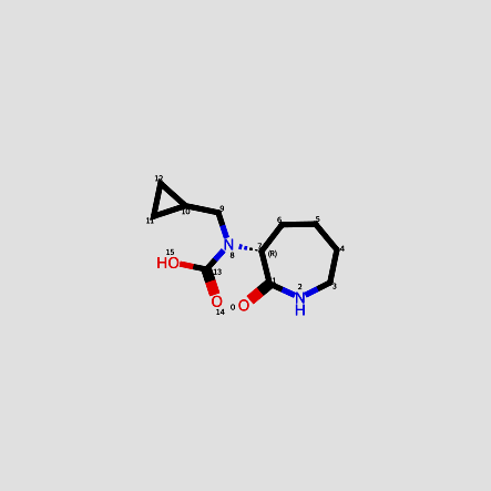 O=C1NCCCC[C@H]1N(CC1CC1)C(=O)O